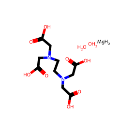 O.O.O=C(O)CN(CCN(CC(=O)O)CC(=O)O)CC(=O)O.[MgH2]